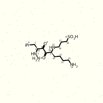 CC(C)C[C@H](NN)C(=O)C(=O)[C@H](CCCCN)NCCCS(=O)(=O)O